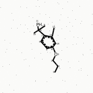 CCCOc1ccc(C(C)(C)P)c(C)c1